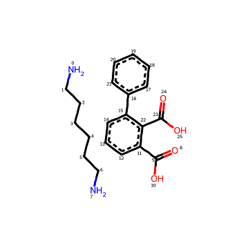 NCCCCCCN.O=C(O)c1cccc(-c2ccccc2)c1C(=O)O